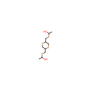 CC(O)SCC1CSC(CSC(C)O)CS1